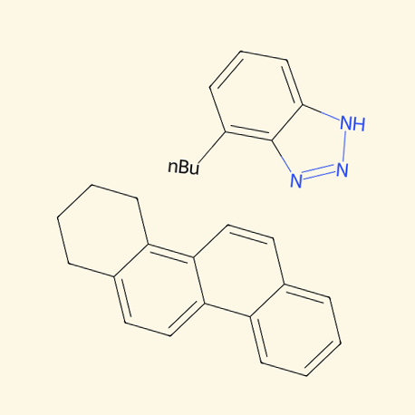 CCCCc1cccc2[nH]nnc12.c1ccc2c(c1)ccc1c3c(ccc12)CCCC3